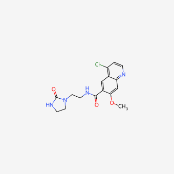 COc1cc2nccc(Cl)c2cc1C(=O)NCCN1CCNC1=O